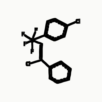 FS(F)(F)(F)(C=C(Cl)c1ccccc1)c1ccc(Cl)cc1